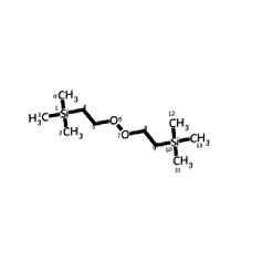 C[Si](C)(C)CCOOCC[Si](C)(C)C